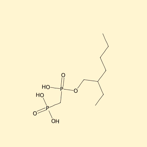 CCCCC(CC)COP(=O)(O)CP(=O)(O)O